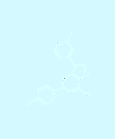 Cc1cc(-c2cnn3c(C(F)(F)F)cc(-c4ccc(C(F)(F)F)cc4)nc23)ccn1